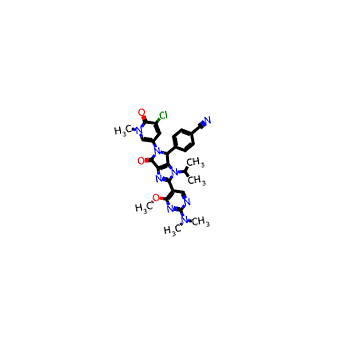 COc1nc(N(C)C)ncc1-c1nc2c(n1C(C)C)C(c1ccc(C#N)cc1)N(c1cc(Cl)c(=O)n(C)c1)C2=O